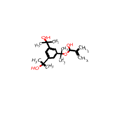 C=C(C)C(O)OC(C)(C)c1cc(C(C)(C)O)cc(C(C)(C)O)c1